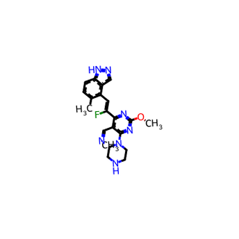 C/N=C\c1c(/C(F)=C/c2c(C)ccc3[nH]ncc23)nc(OC)nc1N1CCNCC1